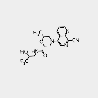 C[C@@H]1CN(c2cnc(C#N)c3ncccc23)C[C@H](C(=O)NCC(O)C(F)(F)F)O1